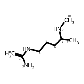 C=C(N)NCCCC(C)NC